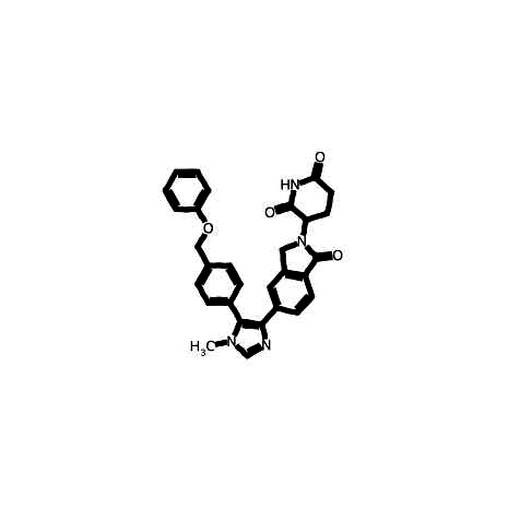 Cn1cnc(-c2ccc3c(c2)CN(C2CCC(=O)NC2=O)C3=O)c1-c1ccc(COc2ccccc2)cc1